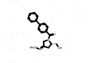 CO/N=C1/C[C@@H](CO)N(C(=O)c2ccc(-c3ccccc3)cc2)C1